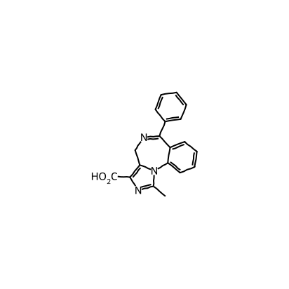 Cc1nc(C(=O)O)c2n1-c1ccccc1C(c1ccccc1)=NC2